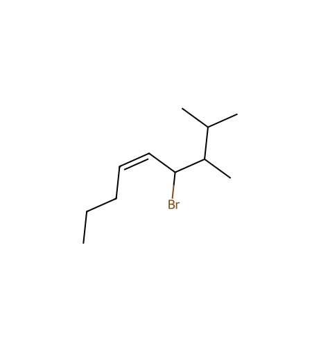 CCC/C=C\C(Br)C(C)C(C)C